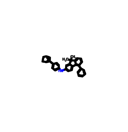 CC1(C)c2cc(Nc3ccc(C4CC5CCC4C5)cc3)ccc2-c2c(-c3ccccc3)cccc21